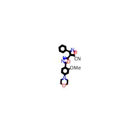 COc1cc(N2CCOCC2)ccc1-c1nnc(-c2c(-c3ccccc3)noc2C#N)o1